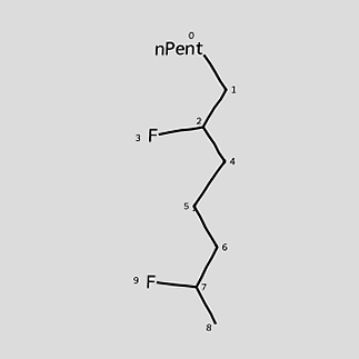 CCCCCCC(F)C[CH]CC(C)F